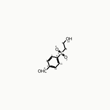 O=Cc1ccc(S(=O)(=O)CCO)cc1